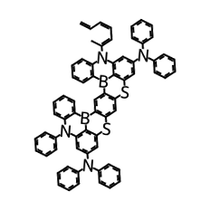 C=C/C=C\C=C(/C)N1c2ccccc2B2c3cc4c(cc3Sc3cc(N(c5ccccc5)c5ccccc5)cc1c32)Sc1cc(N(c2ccccc2)c2ccccc2)cc2c1B4c1ccccc1N2c1ccccc1